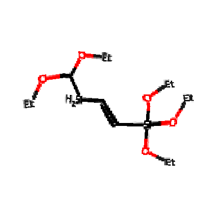 CCOC(OCC)[SiH2]C=C[Si](OCC)(OCC)OCC